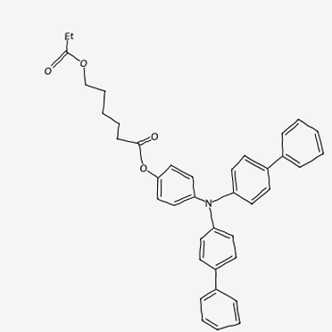 CCC(=O)OCCCCCC(=O)Oc1ccc(N(c2ccc(-c3ccccc3)cc2)c2ccc(-c3ccccc3)cc2)cc1